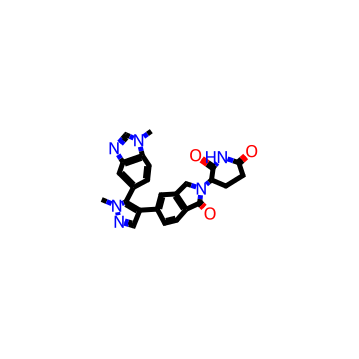 Cn1ncc(-c2ccc3c(c2)CN(C2CCC(=O)NC2=O)C3=O)c1-c1ccc2c(c1)ncn2C